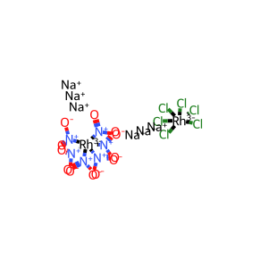 O=[N+]([O-])[Rh-3]([N+](=O)[O-])([N+](=O)[O-])([N+](=O)[O-])([N+](=O)[O-])[N+](=O)[O-].[Cl][Rh-3]([Cl])([Cl])([Cl])([Cl])[Cl].[Na+].[Na+].[Na+].[Na+].[Na+].[Na+]